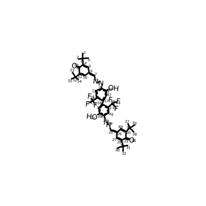 CC(C)(C)C1=CC(=C/N=N/c2cc(C(F)(F)F)c(-c3cc(O)c(/N=N/C=C4C=C(C(C)(C)C)C(=O)C(C(C)(C)C)=C4)cc3C(F)(F)F)cc2O)C=C(C(C)(C)C)C1=O